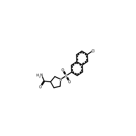 NC(=O)C1CCN(S(=O)(=O)c2ccc3cc(Cl)ccc3c2)C1